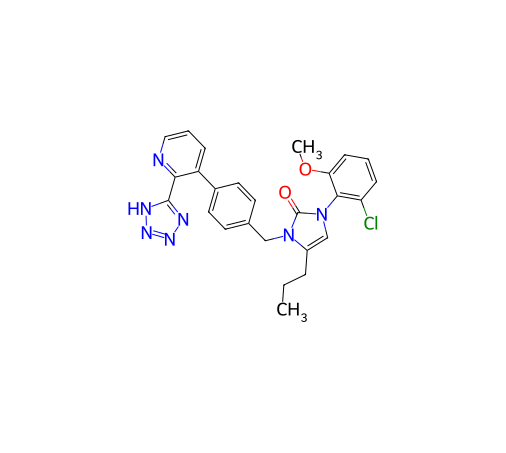 CCCc1cn(-c2c(Cl)cccc2OC)c(=O)n1Cc1ccc(-c2cccnc2-c2nnn[nH]2)cc1